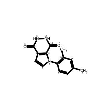 Cc1ccc(-n2ccc3c(=O)[nH][nH]c(=O)c32)c(C)c1